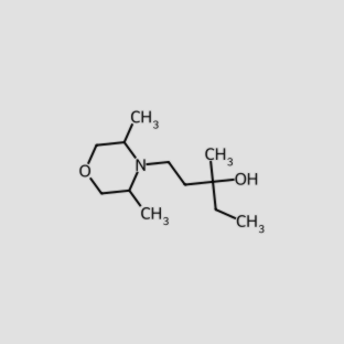 CCC(C)(O)CCN1C(C)COCC1C